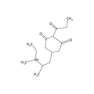 CCC(=O)C1C(=O)CC(CC(C)[SH](C)CC)CC1=O